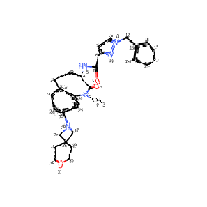 CN1C(=O)[C@@H](NC(=O)c2ccn(Cc3ccccc3)n2)CCc2ccc(N3CC4(CCOCC4)C3)cc21